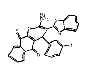 NC1=C(c2nc3ccccc3s2)C(c2cccc(Cl)c2)C2=C(O1)C(=O)c1ccccc1C2=O